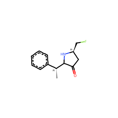 C[C@H](c1ccccc1)C1N[C@@H](CF)CC1=O